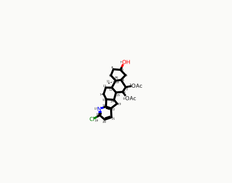 CC(=O)OC1C(OC(C)=O)C2CC(O)CC[C@]2(C)C2CCC3c4nc(Cl)ccc4CC3C12